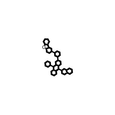 c1ccc(-c2c3ccccc3c(-c3ccc4ccccc4c3)c3ccc(-c4cccc(-c5ccc6oc7ccccc7c6c5)c4)cc23)cc1